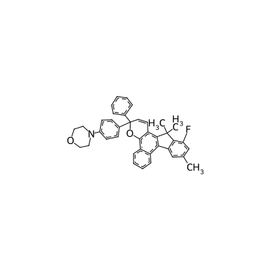 Cc1cc(F)c2c(c1)-c1c(c3c(c4ccccc14)OC(c1ccccc1)(c1ccc(N4CCOCC4)cc1)C=C3)C2(C)C